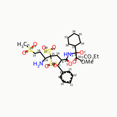 CCOC(=O)OC(NC(=O)C(Cc1ccccc1)CC(C(N)CCS(C)(=O)=O)([SH](=O)=O)[SH](=O)=O)(C(=O)OC)C1CCCCC1